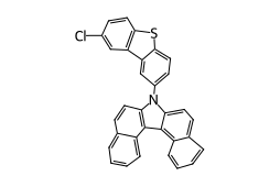 Clc1ccc2sc3ccc(-n4c5ccc6ccccc6c5c5c6ccccc6ccc54)cc3c2c1